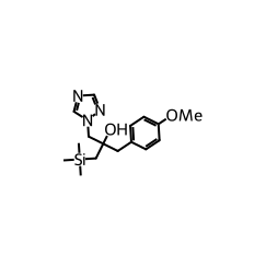 COc1ccc(CC(O)(Cn2cncn2)C[Si](C)(C)C)cc1